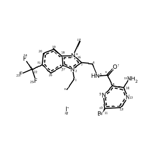 CCn1c(CNC(=O)c2nc(Br)cnc2N)[n+](C)c2ccc(C(F)(F)F)cc21.[I-]